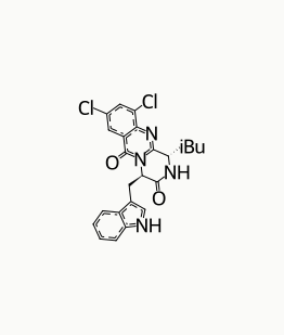 CCC(C)[C@@H]1NC(=O)[C@@H](Cc2c[nH]c3ccccc23)n2c1nc1c(Cl)cc(Cl)cc1c2=O